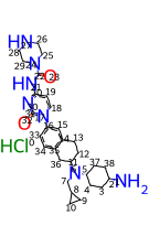 Cl.N[C@H]1CC[C@H](N(CC2CC2)C2CCc3cc(-n4ccc(NC(=O)N5CCNCC5)nc4=O)ccc3C2)CC1